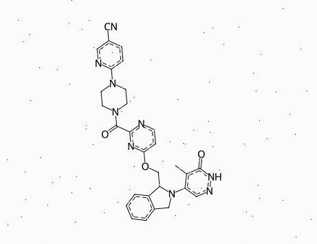 Cc1c(N2Cc3ccccc3C2COc2ccnc(C(=O)N3CCN(c4ccc(C#N)cn4)CC3)n2)cn[nH]c1=O